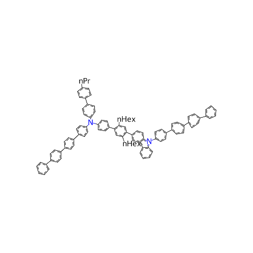 CCCCCCc1cc(-c2ccc3c(c2)c2ccccc2n3-c2ccc(-c3ccc(-c4ccc(-c5ccccc5)cc4)cc3)cc2)c(CCCCCC)cc1-c1ccc(N(c2ccc(-c3ccc(CCC)cc3)cc2)c2ccc(-c3ccc(-c4ccc(-c5ccccc5)cc4)cc3)cc2)cc1